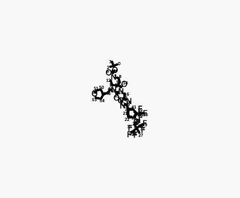 CC(C)(C)OC(=O)N1CCC2(CC1)C(=O)N(Cc1nc(-c3ccc(OCC(C)(C(F)(F)F)C(F)(F)F)c(C(F)(F)F)c3)no1)C(=O)N2CCC1CCOCC1